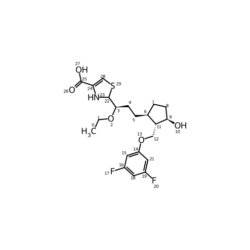 CCO[C@H](CC[C@H]1CC[C@@H](O)[C@@H]1COc1cc(F)cc(F)c1)C1NC(C(=O)O)=CS1